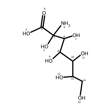 NC(O)(C(=O)O)C(O)C(O)C(O)C(O)CO